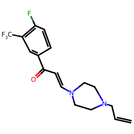 C=CCN1CCN(C=CC(=O)c2ccc(F)c(C(F)(F)F)c2)CC1